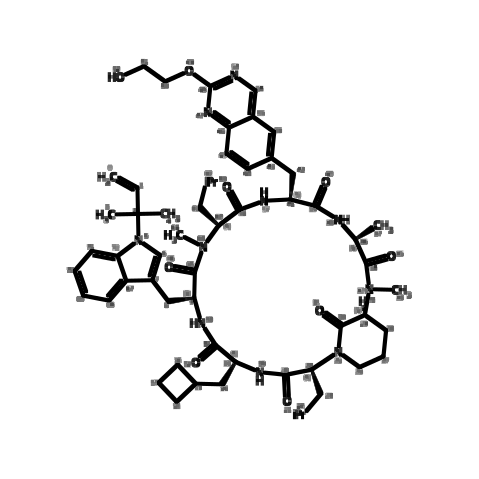 C=CC(C)(C)n1cc(C[C@@H]2NC(=O)[C@H](CC3CCC3)NC(=O)[C@H](CC(C)C)N3CCC[C@@H](C3=O)N(C)C(=O)[C@H](C)NC(=O)[C@H](Cc3ccc4nc(OCCO)ncc4c3)NC(=O)[C@H](CC(C)C)N(C)C2=O)c2ccccc21